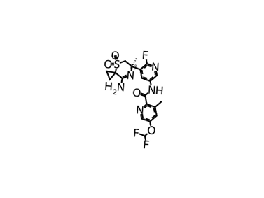 Cc1cc(OC(F)F)cnc1C(=O)Nc1cnc(F)c([C@]2(C)CS(=O)(=O)C3(CC3)C(N)=N2)c1